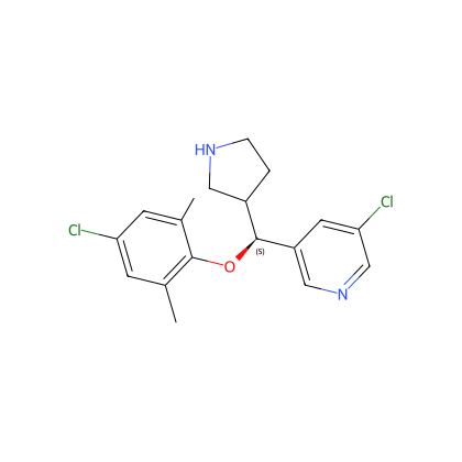 Cc1cc(Cl)cc(C)c1O[C@H](c1cncc(Cl)c1)C1CCNC1